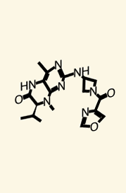 Cc1nc(NC2CN(C(=O)c3cocn3)C2)nc2c1NC(=O)[C@H](C(C)C)N2C